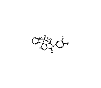 O=C1C2C=NC(c3ccccc3)(P(=O)(O)O)C2C(=O)N1c1ccc(F)c(Cl)c1